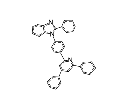 c1ccc(-c2cc(-c3ccccc3)nc(-c3ccc(-n4c(-c5ccccc5)nc5ccccc54)cc3)c2)cc1